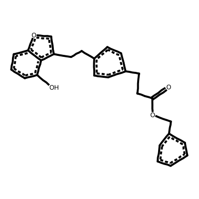 O=C(CCc1ccc(CCc2coc3cccc(O)c23)cc1)OCc1ccccc1